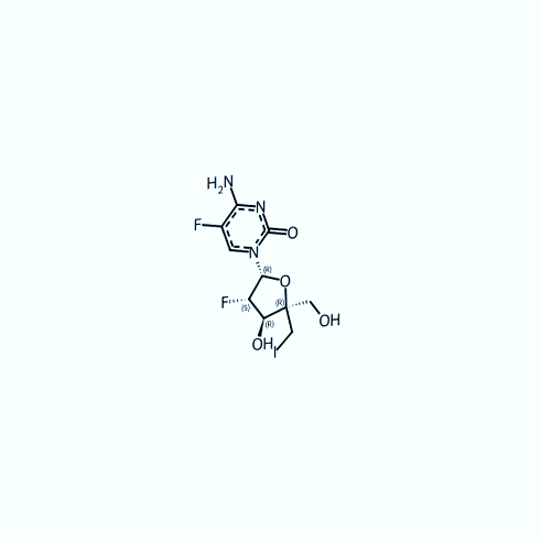 Nc1nc(=O)n([C@@H]2O[C@@](CO)(CI)[C@@H](O)[C@@H]2F)cc1F